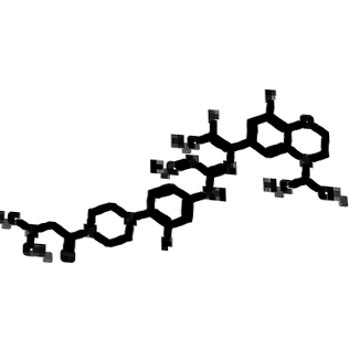 C=N/C(=N\C(=C(/C)F)c1cc(F)c2c(c1)N(C(C)C)CCO2)Nc1ccc(N2CCN(C(=O)CN(C)C)CC2)c(F)c1